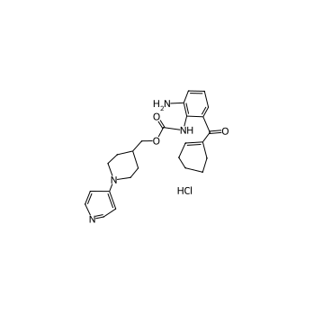 Cl.Nc1cccc(C(=O)C2=CCCCC2)c1NC(=O)OCC1CCN(c2ccncc2)CC1